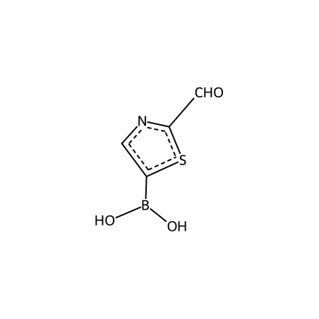 O=Cc1ncc(B(O)O)s1